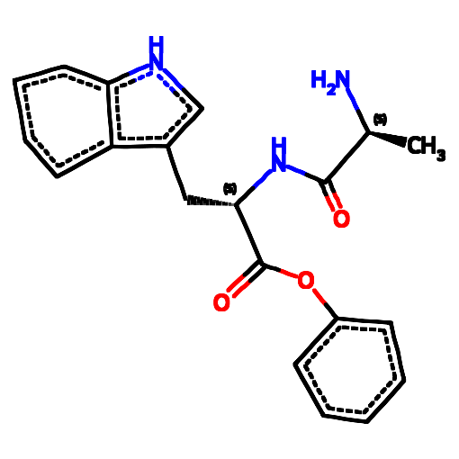 C[C@H](N)C(=O)N[C@@H](Cc1c[nH]c2ccccc12)C(=O)Oc1ccccc1